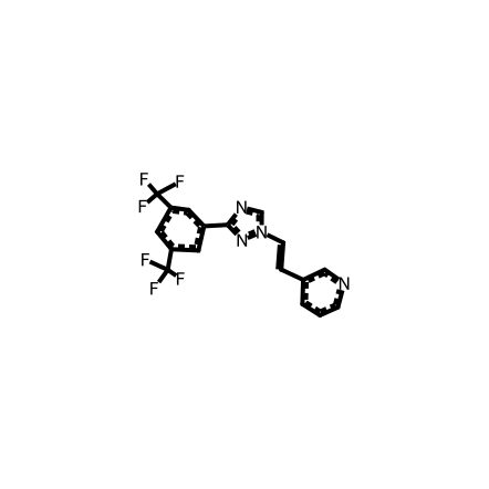 FC(F)(F)c1cc(-c2ncn(C=Cc3cccnc3)n2)cc(C(F)(F)F)c1